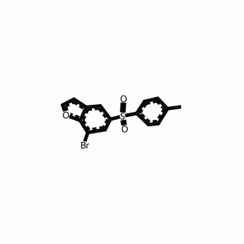 Cc1ccc(S(=O)(=O)c2cc(Br)c3occc3c2)cc1